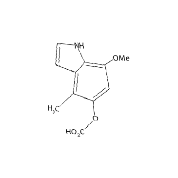 COc1cc(OC(=O)O)c(C)c2cc[nH]c12